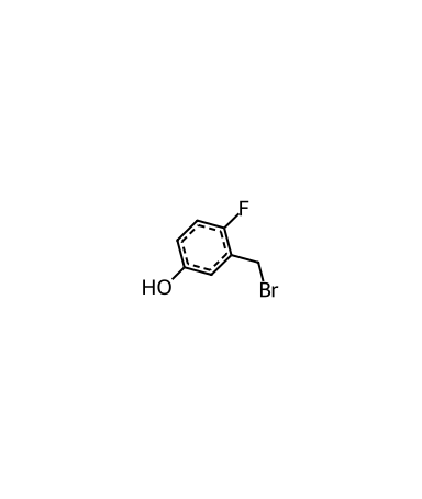 Oc1ccc(F)c(CBr)c1